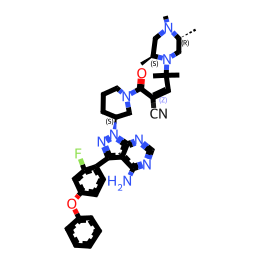 C[C@@H]1CN(C(C)(C)/C=C(/C#N)C(=O)N2CCC[C@H](n3nc(-c4ccc(Oc5ccccc5)cc4F)c4c(N)ncnc43)C2)[C@@H](C)CN1C